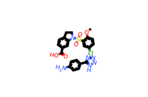 COc1ccc(Cl)cc1S(=O)(=O)N1CCc2ccc(C(=O)O)cc21.Nc1ccc(-c2nnn[nH]2)cc1